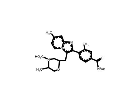 CNC(=O)c1ccc(-c2nc3cc(C)ccn3c2CC2CN(C(=O)O)C(C)CO2)c(C)c1